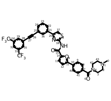 CN1CCN(C(=O)c2ccc(-c3ccc(C(=O)Nc4nc(-c5cccc(C#Cc6cc(C(F)(F)F)cc(C(F)(F)F)c6)c5)cs4)o3)cc2)CC1